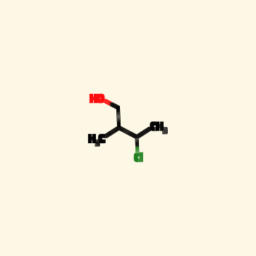 CC(Cl)C(C)CO